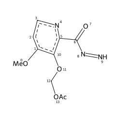 COc1ccnc(C(=O)N=N)c1OCOC(C)=O